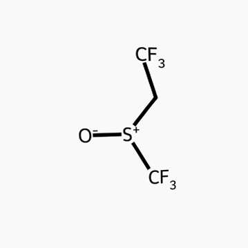 [O-][S+](CC(F)(F)F)C(F)(F)F